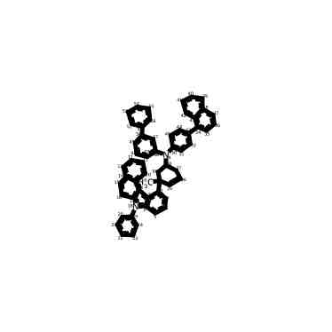 CC1(c2cccc3c2c2c4ccccc4ccc2n3-c2ccccc2)C=CCC(N(c2ccc(-c3cccc4ccccc34)cc2)c2cccc(-c3ccccc3)c2)C1